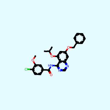 COc1cc(C(=O)Nc2ncnc3cc(OCc4ccccc4)cc(OC(C)C)c23)ccc1Cl